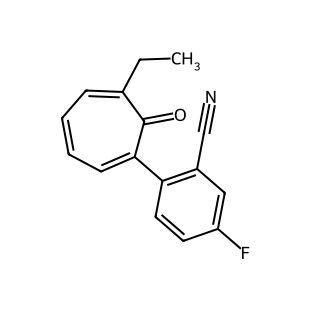 CCc1ccccc(-c2ccc(F)cc2C#N)c1=O